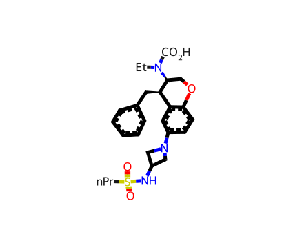 CCCS(=O)(=O)NC1CN(c2ccc3c(c2)[C@@H](Cc2ccccc2)[C@@H](N(CC)C(=O)O)CO3)C1